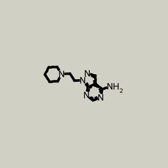 Nc1ncnc2c1cnn2CCN1CCCCC1